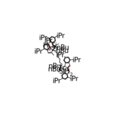 CCC[CH2][Zr]([CH2]CCC)([CH2]CCCC[CH2][Zr]([CH2]CCC)([CH2]CCC)([SiH2]C)([CH]1C(C)=Cc2c(C(C)C)cc(C(C)C)cc21)[CH]1C(C)=Cc2c(C(C)C)cc(C(C)C)cc21)([SiH2]C)([CH]1C(C)=Cc2c(C(C)C)cc(C(C)C)cc21)[CH]1C(C)=Cc2c(C(C)C)cc(C(C)C)cc21